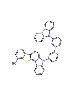 N#Cc1cccc2c1sc1c2ccc2c1c1ccccc1n2-c1cccc(-c2cccc(-n3c4ccccc4c4ccccc43)c2)c1